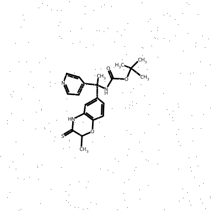 CC1Oc2ccc(C(C)(NC(=O)OC(C)(C)C)c3ccncc3)cc2NC1=S